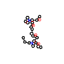 c1ccc(-c2cccc(-c3ccc(N(c4ccc(-c5cccc6oc7c8cc(-c9ccc%10c(ccc%11c%10oc%10cccc(-c%12ccccc%12N(c%12ccc(-c%13ccc%14oc%15ccccc%15c%14c%13)cc%12)c%12ccccc%12-c%12ccccc%12)c%10%11)c9)ccc8ccc7c56)cc4)c4ccccc4-c4cccc5oc6c7ccccc7ccc6c45)cc3)c2)cc1